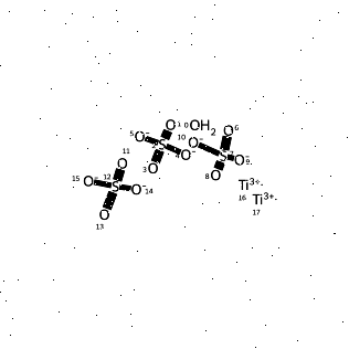 O.O=S(=O)([O-])[O-].O=S(=O)([O-])[O-].O=S(=O)([O-])[O-].[Ti+3].[Ti+3]